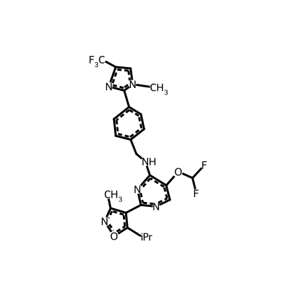 Cc1noc(C(C)C)c1-c1ncc(OC(F)F)c(NCc2ccc(-c3nc(C(F)(F)F)cn3C)cc2)n1